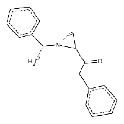 C[C@H](c1ccccc1)[N@]1CC1C(=O)Cc1ccccc1